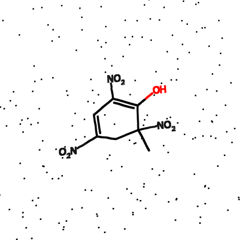 CC1([N+](=O)[O-])CC([N+](=O)[O-])=CC([N+](=O)[O-])=C1O